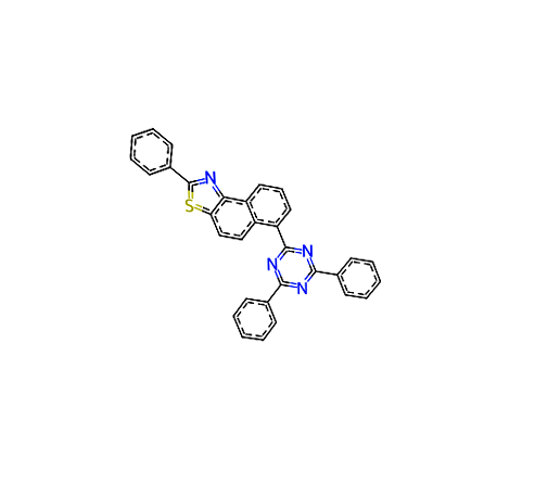 c1ccc(-c2nc(-c3ccccc3)nc(-c3cccc4c3ccc3sc(-c5ccccc5)nc34)n2)cc1